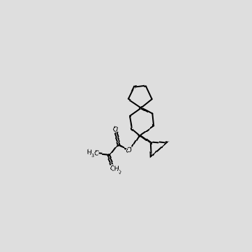 C=C(C)C(=O)OC1(C2CC2)CCC2(CCCC2)CC1